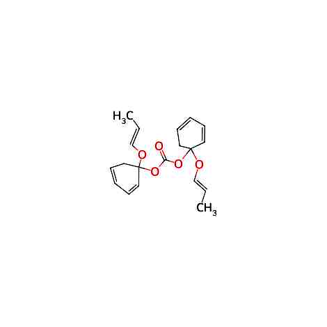 CC=COC1(OC(=O)OC2(OC=CC)C=CC=CC2)C=CC=CC1